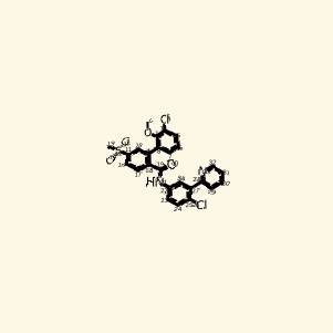 COc1c(Cl)cccc1-c1cc(S(C)(=O)=O)ccc1C(=O)Nc1ccc(Cl)c(-c2ccccn2)c1